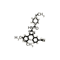 CCN1CCN(C(=O)Nc2nc(-c3cccc(C#N)c3)c(-c3cc(C)nc(C)c3)s2)CC1